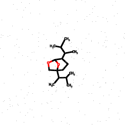 CC(C)C(C)C1CCC2(C(C)C(C)C)COC1O2